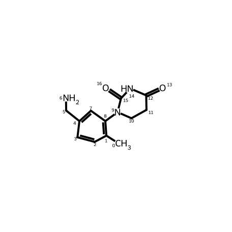 Cc1ccc(CN)cc1N1CCC(=O)NC1=O